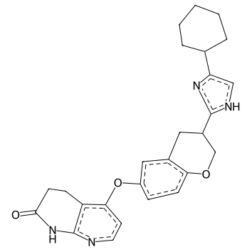 O=C1CCc2c(Oc3ccc4c(c3)CC(c3nc(C5CCCCC5)c[nH]3)CO4)ccnc2N1